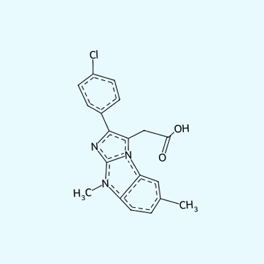 Cc1ccc2c(c1)n1c(CC(=O)O)c(-c3ccc(Cl)cc3)nc1n2C